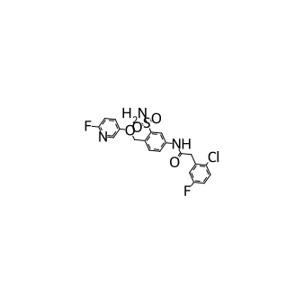 NS(=O)(=O)c1cc(NC(=O)Cc2cc(F)ccc2Cl)ccc1COc1ccc(F)nc1